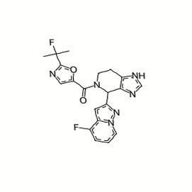 CC(C)(F)c1ncc(C(=O)N2CCc3[nH]cnc3C2c2cc3c(F)cccn3n2)o1